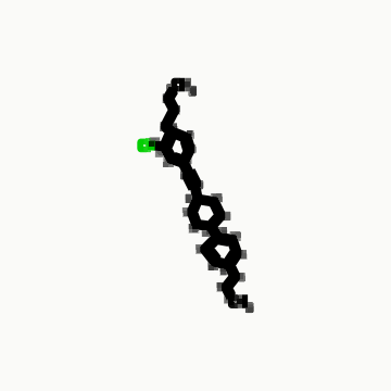 CCCCc1ccc(C#CC2CCC(c3ccc(CCC)cc3)CC2)cc1Cl